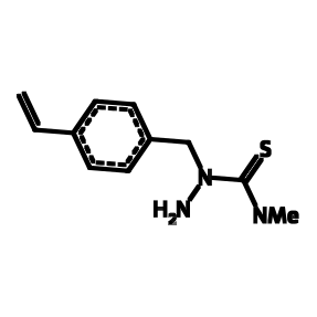 C=Cc1ccc(CN(N)C(=S)NC)cc1